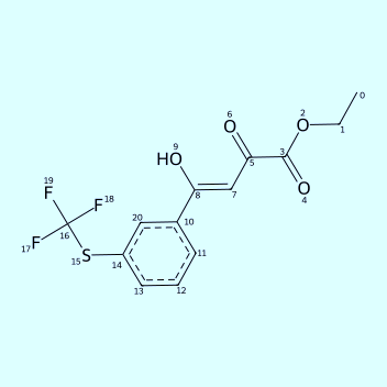 CCOC(=O)C(=O)C=C(O)c1cccc(SC(F)(F)F)c1